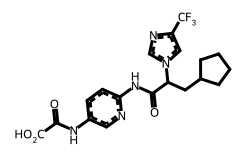 O=C(O)C(=O)Nc1ccc(NC(=O)C(CC2CCCC2)n2cnc(C(F)(F)F)c2)nc1